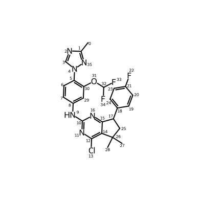 Cc1ncn(-c2ccc(Nc3nc(Cl)c4c(n3)C(c3ccc(F)cc3)CC4(C)C)cc2OC(F)F)n1